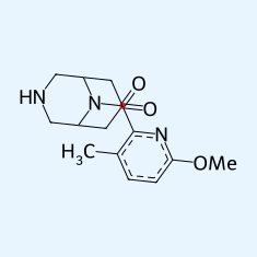 COc1ccc(C)c(C(=O)N2C3CNCC2CC(=O)C3)n1